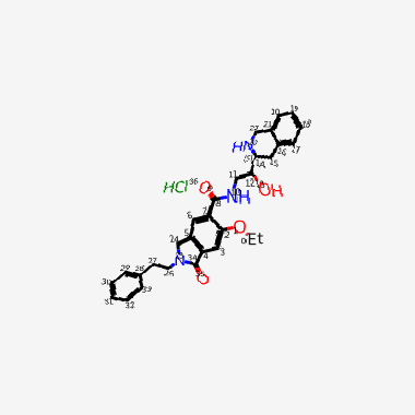 CCOc1cc2c(cc1C(=O)NCC(O)[C@@H]1Cc3ccccc3CN1)CN(CCc1ccccc1)C2=O.Cl